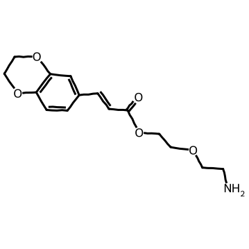 NCCOCCOC(=O)/C=C/c1ccc2c(c1)OCCO2